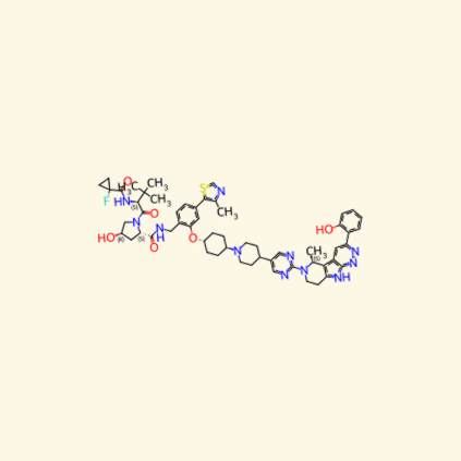 Cc1ncsc1-c1ccc(CNC(=O)[C@@H]2C[C@@H](O)CN2C(=O)[C@@H](NC(=O)C2(F)CC2)C(C)(C)C)c(O[C@H]2CC[C@H](N3CCC(c4cnc(N5CCc6[nH]c7nnc(-c8ccccc8O)cc7c6[C@@H]5C)nc4)CC3)CC2)c1